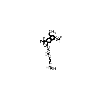 CCc1cc(OC(F)(F)F)cc2c1CC(C(F)(F)F)C(C(=O)OCOC(=O)OCCCONO)=C2